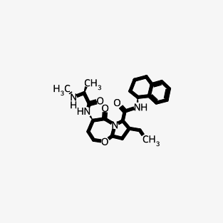 CCC1CC2OCC[C@H](NC(=O)[C@H](C)NC)C(=O)N2C1C(=O)N[C@@H]1CCCc2ccccc21